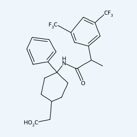 CC(C(=O)NC1(c2ccccc2)CCC(CC(=O)O)CC1)c1cc(C(F)(F)F)cc(C(F)(F)F)c1